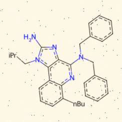 CCCCc1cccc2c1nc(N(Cc1ccccc1)Cc1ccccc1)c1nc(N)n(CC(C)C)c12